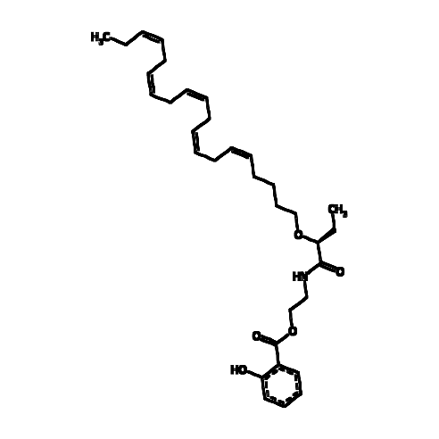 CC/C=C\C/C=C\C/C=C\C/C=C\C/C=C\CCCCO[C@@H](CC)C(=O)NCCOC(=O)c1ccccc1O